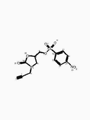 C#CCN1CC(COS(=O)(=O)c2ccc([N+](=O)[O-])cc2)OC1=O